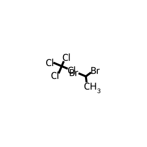 CC(Br)Br.ClC(Cl)(Cl)Cl